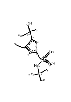 Cc1oc(S(=N)(=O)N[Si](C)(C)C(C)(C)C)cc1C(C)(C)O